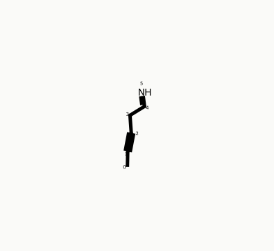 CC#CCC=N